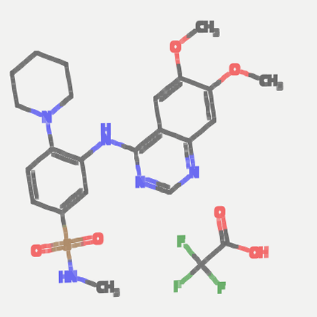 CNS(=O)(=O)c1ccc(N2CCCCC2)c(Nc2ncnc3cc(OC)c(OC)cc23)c1.O=C(O)C(F)(F)F